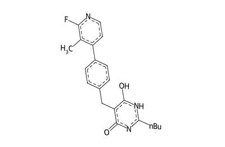 CCCCc1nc(=O)c(Cc2ccc(-c3ccnc(F)c3C)cc2)c(O)[nH]1